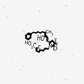 C[C@H](CCCCCc1ccccc1)[C@H](O)/C=C/[C@H]1CC(F)(F)C(=O)N1CCCc1ccc(C(=O)O)s1